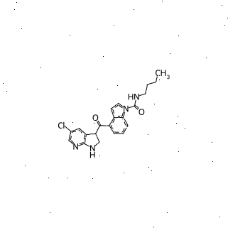 CCCCNC(=O)n1ccc2c(C(=O)C3CNc4ncc(Cl)cc43)cccc21